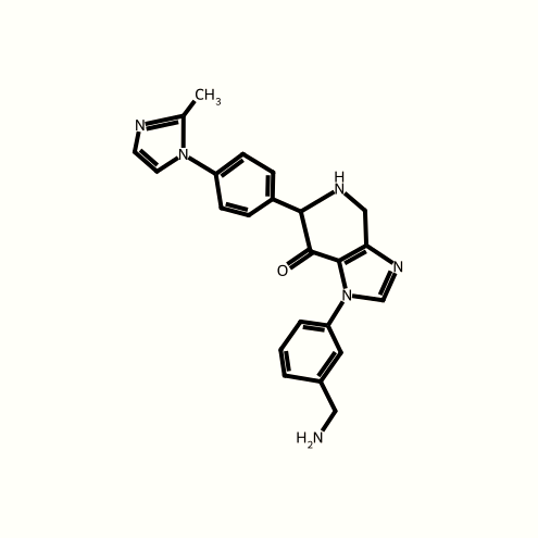 Cc1nccn1-c1ccc(C2NCc3ncn(-c4cccc(CN)c4)c3C2=O)cc1